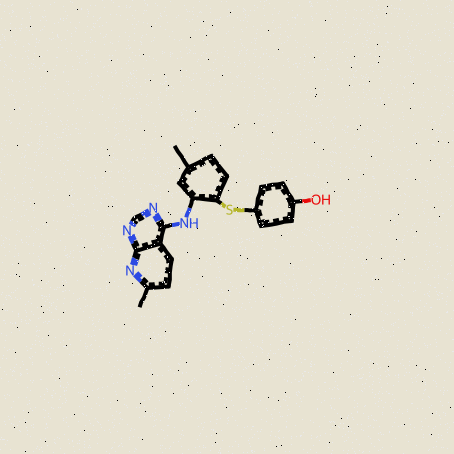 Cc1ccc(Sc2ccc(O)cc2)c(Nc2ncnc3nc(C)ccc23)c1